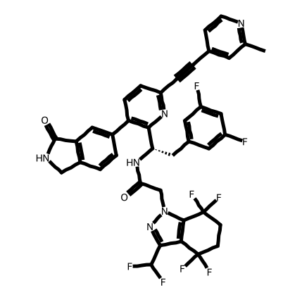 Cc1cc(C#Cc2ccc(-c3ccc4c(c3)C(=O)NC4)c([C@H](Cc3cc(F)cc(F)c3)NC(=O)Cn3nc(C(F)F)c4c3C(F)(F)CCC4(F)F)n2)ccn1